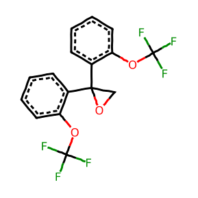 FC(F)(F)Oc1ccccc1C1(c2ccccc2OC(F)(F)F)CO1